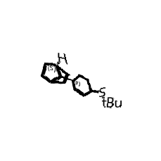 CC(C)(C)SC1C=C[C@@H](C2C3C=C[C@H]2CC3)CC1